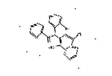 Oc1c(C(Nc2ccccn2)c2ccccc2Br)cc(Cl)c2cccnc12